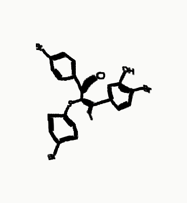 O=C(C(Sc1ccc(Br)cc1)=C(I)c1ccc(Br)c(O)c1)c1ccc(Br)cc1